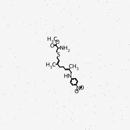 COC(=O)C(N)CSCC=C(C)CCC=C(C)CNc1ccc([N+](=O)[O-])cc1